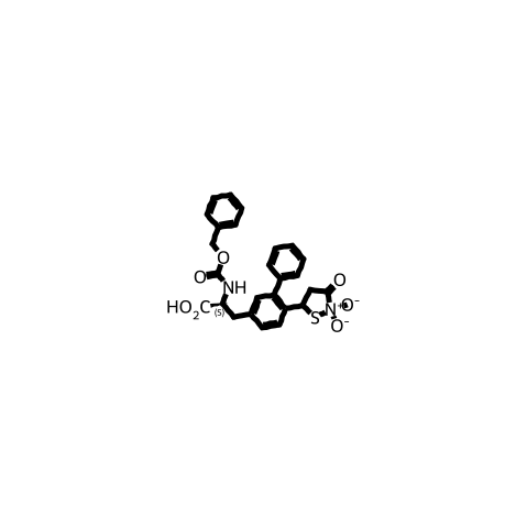 O=C(N[C@@H](Cc1ccc(C2CC(=O)[N+]([O-])([O-])S2)c(-c2ccccc2)c1)C(=O)O)OCc1ccccc1